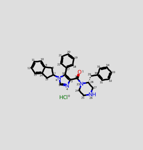 Cl.O=C(c1ncn(C2Cc3ccccc3C2)c1-c1ccccc1)N1CCNC[C@H]1Cc1ccccc1